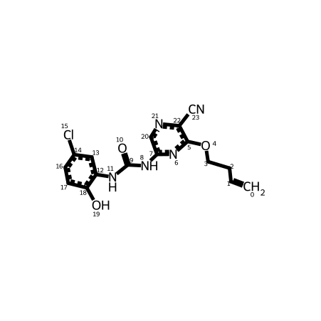 C=CCCOc1nc(NC(=O)Nc2cc(Cl)ccc2O)cnc1C#N